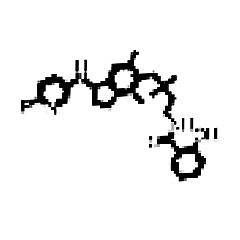 Cc1cc2c(c(C)c1CC(C)(C)CCNC(=O)c1ccccc1O)CCC2Nc1ccc(F)nc1